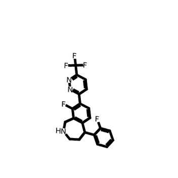 Fc1ccccc1C1CCNCc2c1ccc(-c1ccc(C(F)(F)F)nn1)c2F